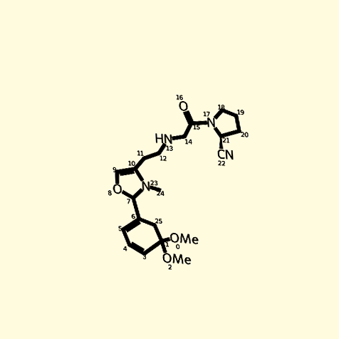 COC1(OC)C=CC=C(C2OC=C(CCNCC(=O)N3CCC[C@H]3C#N)N2C)C1